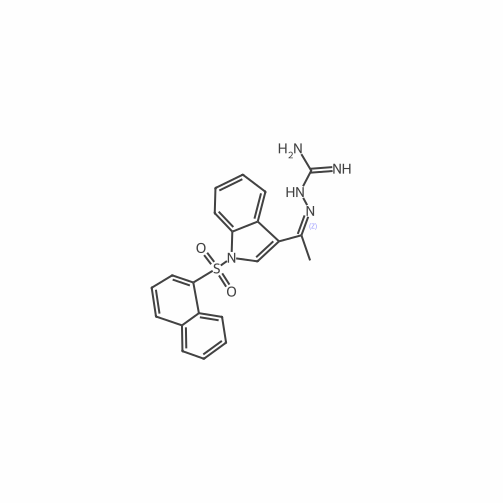 C/C(=N/NC(=N)N)c1cn(S(=O)(=O)c2cccc3ccccc23)c2ccccc12